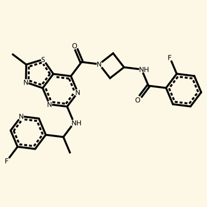 Cc1nc2nc(NC(C)c3cncc(F)c3)nc(C(=O)N3CC(NC(=O)c4ccccc4F)C3)c2s1